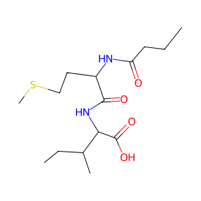 CCCC(=O)NC(CCSC)C(=O)NC(C(=O)O)C(C)CC